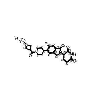 CN1CC(C(=O)N2CCC(c3cc4c(cc3F)C(=O)N(C3CCC(=O)NC3=O)C4)CC2)C1